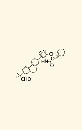 Cc1nsc(-c2ccc3c(c2)CCc2cc(C4(C=O)CC4)ccc2-3)c1NC(=O)OCc1ccccc1